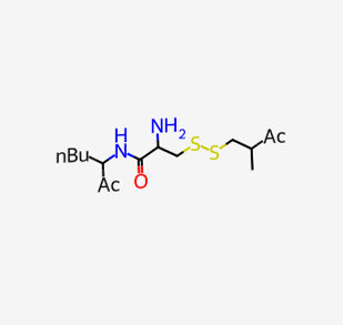 CCCCC(NC(=O)C(N)CSSCC(C)C(C)=O)C(C)=O